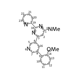 CNc1cc(-c2cncc(-c3ccccc3OC)c2)nc(-c2ccccn2)n1